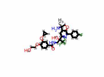 C[C@@]1(N)COc2c1cc(C(O)(CNC(=O)c1ccc(OCCO)c(OC3CC3)c1)C(F)(F)F)nc2-c1ccc(F)cc1